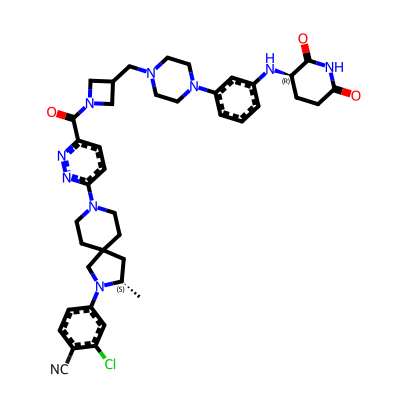 C[C@H]1CC2(CCN(c3ccc(C(=O)N4CC(CN5CCN(c6cccc(N[C@@H]7CCC(=O)NC7=O)c6)CC5)C4)nn3)CC2)CN1c1ccc(C#N)c(Cl)c1